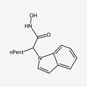 CCCCCC(C(=O)NO)n1ccc2ccccc21